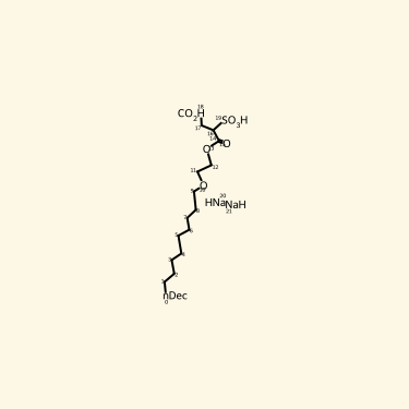 CCCCCCCCCCCCCCCCCCCOCCOC(=O)C(CC(=O)O)S(=O)(=O)O.[NaH].[NaH]